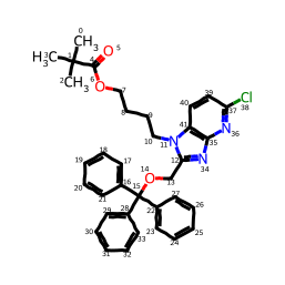 CC(C)(C)C(=O)OCCCCn1c(COC(c2ccccc2)(c2ccccc2)c2ccccc2)nc2nc(Cl)ccc21